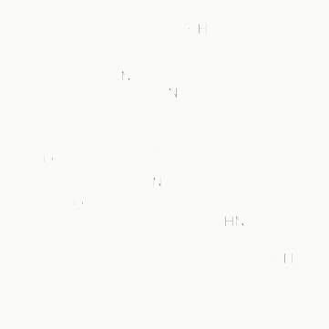 CC(=O)NCCCOc1nc2c(C)cccn2c1C=C(C#N)C(=O)OCc1ccccc1